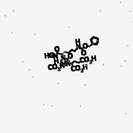 O=C(O)CC[C@H](NC(=O)N(CC(=O)O)[C@@H](CCCCNC(=O)OCc1ccccc1)C(=O)NO)C(=O)O